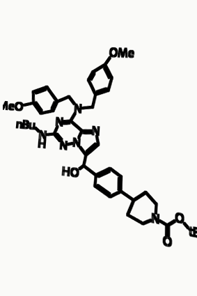 CCCCNc1nc(N(Cc2ccc(OC)cc2)Cc2ccc(OC)cc2)c2ncc(C(O)c3ccc(C4CCN(C(=O)OC(C)(C)C)CC4)cc3)n2n1